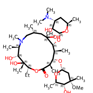 CC[C@H]1OC(=O)[C@H](C)[C@@H](O[C@@H]2C[C@](C)(OC)[C@H](O)[C@H](C)O2)[C@H](C)[C@@H](O[C@H]2O[C@H](C)C[C@@H](N(C)C)[C@H]2O)[C@](C)(O)C[C@@H](C)CN(C)[C@H](C)[C@@H](O)[C@@]1(C)O